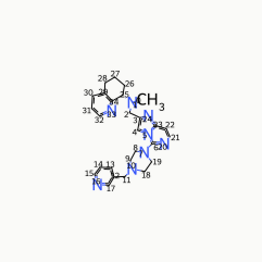 CN(Cc1cn2c(N3CCN(Cc4cccnc4)CC3)nccc2n1)[C@H]1CCCc2cccnc21